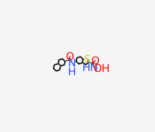 O=C(Nc1ccc2sc(C(=O)NO)cc2c1)c1ccc2ccccc2c1